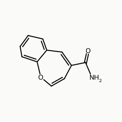 NC(=O)C1=Cc2ccccc2OC=C1